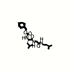 CC(C)CCNC(=O)CNC(=O)[C@H](CC(C)C)NC(=O)OCc1ccccc1